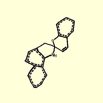 C1=CC2(Cc3ccc4ccccc4c3N2)Oc2ccccc21